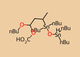 CCCCOC(C[CH](C)[Sn]([CH2]CCC)([CH2]CCC)[O][SnH]([CH2]CCC)[CH2]CCC)OC(=O)O